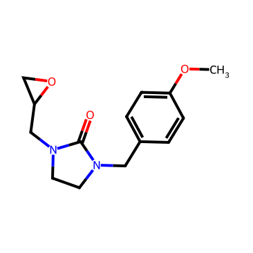 COc1ccc(CN2CCN(CC3CO3)C2=O)cc1